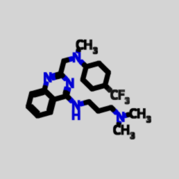 CN(C)CCCNc1nc(CN(C)C2CCC(C(F)(F)F)CC2)nc2ccccc12